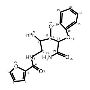 CCCC(CNC(=O)c1ccco1)[S+]([O-])C(Oc1ccccc1)C(N)=O